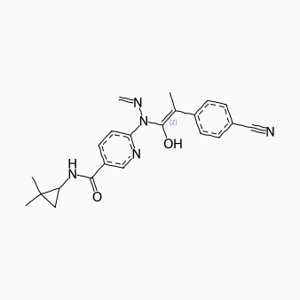 C=NN(/C(O)=C(\C)c1ccc(C#N)cc1)c1ccc(C(=O)NC2CC2(C)C)cn1